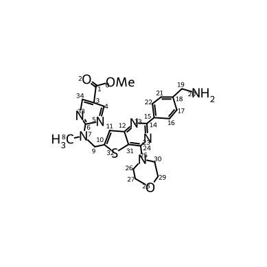 COC(=O)c1cnc(N(C)Cc2cc3nc(-c4ccc(CN)cc4)nc(N4CCOCC4)c3s2)nc1